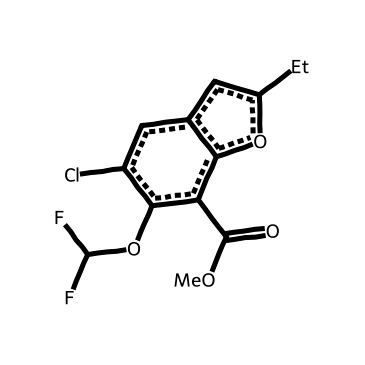 CCc1cc2cc(Cl)c(OC(F)F)c(C(=O)OC)c2o1